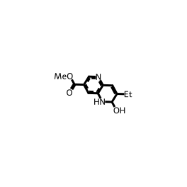 CCC1=Cc2ncc(C(=O)OC)cc2NC1O